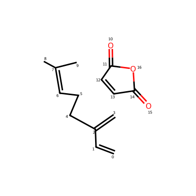 C=CC(=C)CCC=C(C)C.O=C1C=CC(=O)O1